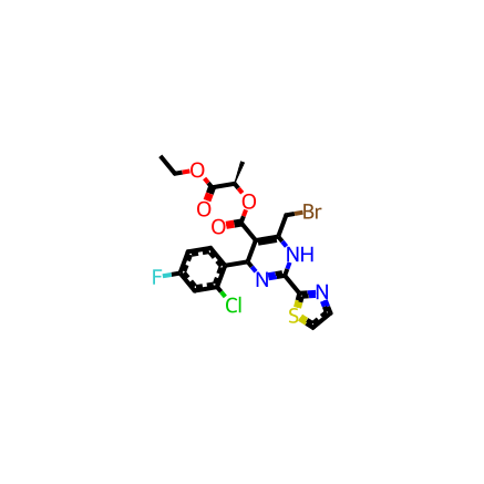 CCOC(=O)[C@@H](C)OC(=O)C1=C(CBr)NC(c2nccs2)=NC1c1ccc(F)cc1Cl